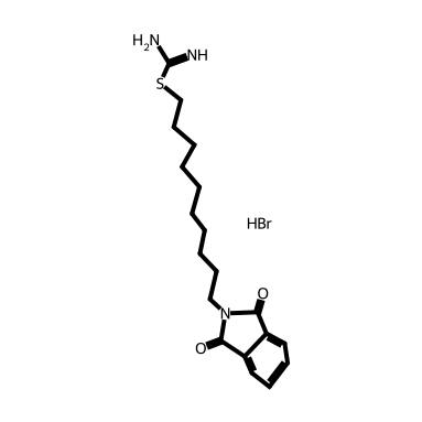 Br.N=C(N)SCCCCCCCCCCN1C(=O)c2ccccc2C1=O